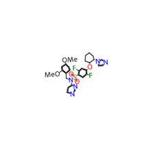 COc1ccc(CN(c2ccncn2)S(=O)(=O)c2cc(F)c(O[C@H]3CCCC[C@@H]3n3ccnc3)cc2F)c(OC)c1